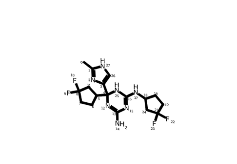 Cc1nc(C2(C3CCC(F)(F)C3)N=C(N)N=C(NC3CCC(F)(F)C3)N2)c[nH]1